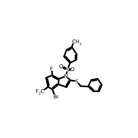 Cc1ccc(S(=O)(=O)n2c(SCc3ccccc3)cc3c(Br)c(C(F)(F)F)cc(F)c32)cc1